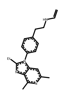 C=CNCCc1ccc(-n2c(CC)nc3c(C)nc(C)cc32)cc1